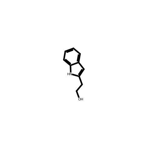 OCCc1cc2c[c]ccc2[nH]1